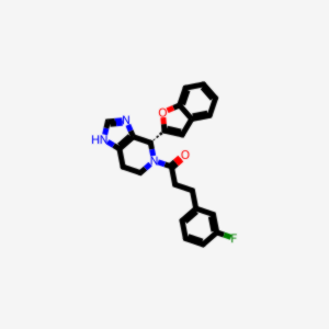 O=C(CCc1cccc(F)c1)N1CCc2[nH]cnc2[C@@H]1c1cc2ccccc2o1